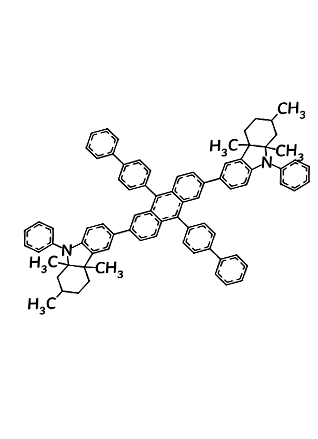 CC1CCC2(C)c3cc(-c4ccc5c(-c6ccc(-c7ccccc7)cc6)c6cc(-c7ccc8c(c7)C7(C)CCC(C)CC7(C)N8c7ccccc7)ccc6c(-c6ccc(-c7ccccc7)cc6)c5c4)ccc3N(c3ccccc3)C2(C)C1